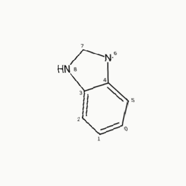 c1ccc2c(c1)[N]CN2